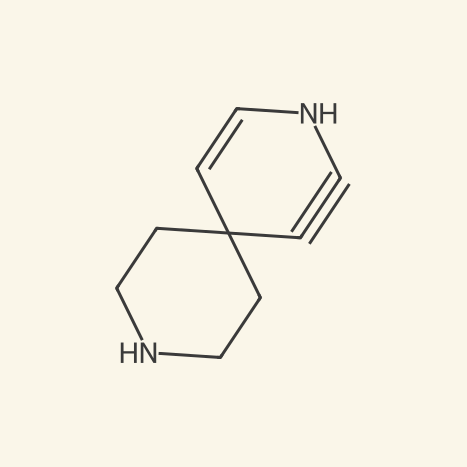 C1#CC2(C=CN1)CCNCC2